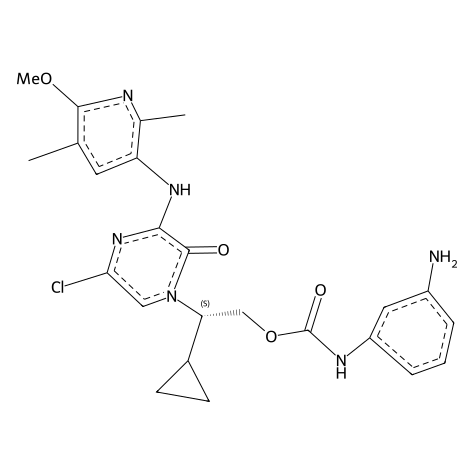 COc1nc(C)c(Nc2nc(Cl)cn([C@H](COC(=O)Nc3cccc(N)c3)C3CC3)c2=O)cc1C